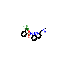 CN(C)Cc1ccc2cccc(NS(=O)(=O)c3ccccc3C(F)(F)F)c2n1